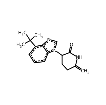 C=C1CCC(n2cnc3c(C(C)(C)C)cccc32)C(=O)N1